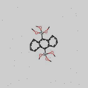 CO[Si](OC)(OC)c1c2ccccc2c([Si](OC)(OC)OC)c2ccccc12